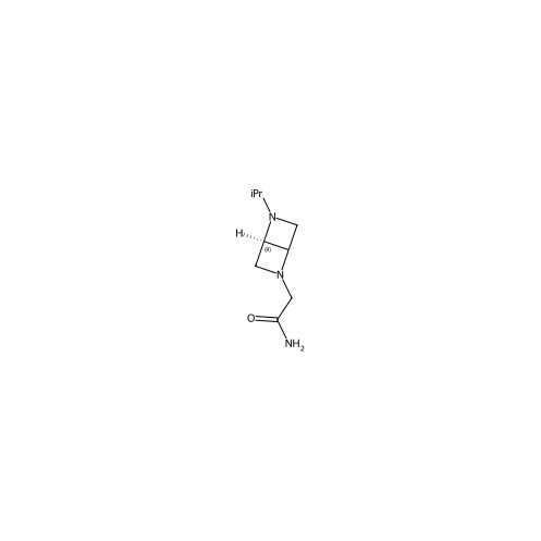 CC(C)N1CC2[C@H]1CN2CC(N)=O